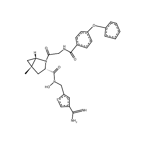 C[C@@]12C[C@@H]1N(C(=O)CNC(=O)c1ccc(Oc3ccccc3)cc1)[C@H](C(=O)N(O)Cc1cc(C(=N)N)cs1)C2